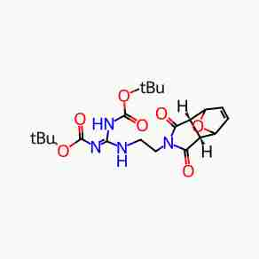 CC(C)(C)OC(=O)/N=C(/NCCN1C(=O)[C@@H]2C3C=CC(O3)[C@@H]2C1=O)NC(=O)OC(C)(C)C